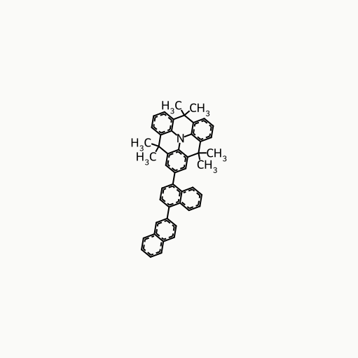 CC1(C)c2cccc3c2N2c4c1cccc4C(C)(C)c1cc(-c4ccc(-c5ccc6ccccc6c5)c5ccccc45)cc(c12)C3(C)C